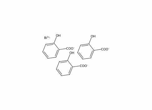 O=C([O-])c1ccccc1O.O=C([O-])c1ccccc1O.O=C([O-])c1ccccc1O.[Bi+3]